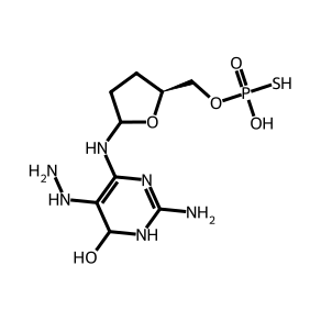 NNC1=C(NC2CC[C@@H](COP(=O)(O)S)O2)N=C(N)NC1O